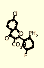 O=C(O)c1c(-c2cc(F)ccc2P)oc2cc(Cl)ccc2c1=O